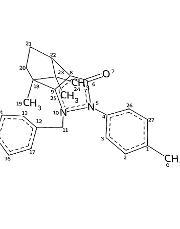 Cc1ccc(-n2c(=O)c3c(n2Cc2ccccc2)C2(C)CCC3C2(C)C)cc1